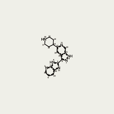 c1cnc2[nH]c(-c3n[nH]c4cnc(C5CCNCC5)cc34)nc2c1